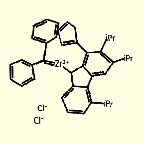 CC(C)c1cccc2c1-c1cc(C(C)C)c(C(C)C)c(C3=CC=CC3)c1[CH]2[Zr+2]=[C](c1ccccc1)c1ccccc1.[Cl-].[Cl-]